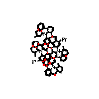 Cc1ccc(C)c(N(c2c(C)cccc2-c2ccccc2)c2cc(C(C)C)c3ccc4c(N(c5cc(C)ccc5C)c5c(C)cc(-c6cccc(-c7cccc(C)c7N(c7c(C)cccc7C)c7cc(C(C)C)c8ccc9c(N(c%10c(C)cccc%10C)c%10c(C)cccc%10-c%10ccccc%10)cc(C(C)C)c%10ccc7c8c%109)c6)cc5-c5ccccc5)cc(C(C)C)c5ccc2c3c54)c1